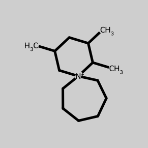 CC1CC(C)C(C)[N+]2(CCCCCC2)C1